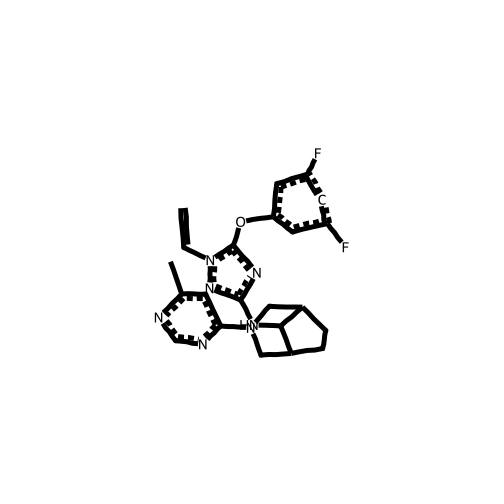 C=Cn1nc(NC2C3CCC2CN(c2cc(C)ncn2)C3)nc1Oc1cc(F)cc(F)c1